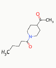 CCCCC(=O)N1CCC(C(C)=O)CC1